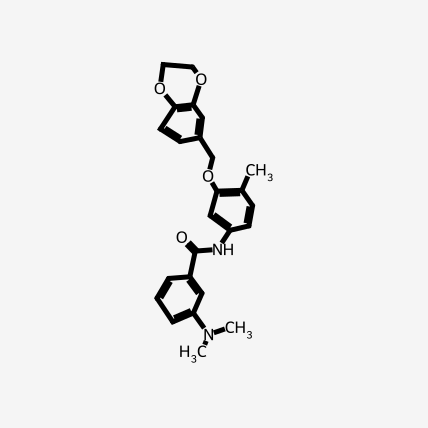 Cc1ccc(NC(=O)c2cccc(N(C)C)c2)cc1OCc1ccc2c(c1)OCCO2